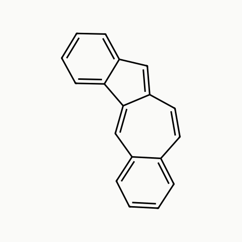 c1ccc2cc3c4ccccc4cc-3ccc2c1